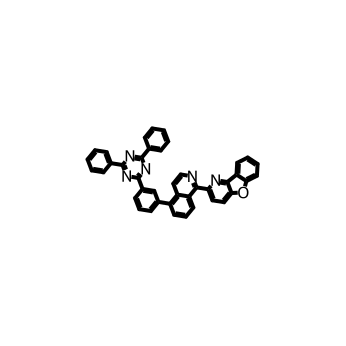 c1ccc(-c2nc(-c3ccccc3)nc(-c3cccc(-c4cccc5c(-c6ccc7oc8ccccc8c7n6)nccc45)c3)n2)cc1